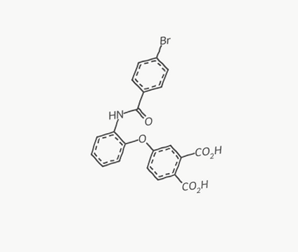 O=C(Nc1ccccc1Oc1ccc(C(=O)O)c(C(=O)O)c1)c1ccc(Br)cc1